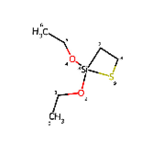 CCO[Si]1(OCC)CCS1